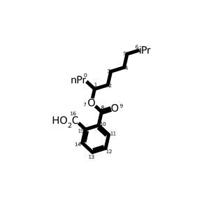 CCCC(CCCCC(C)C)OC(=O)c1ccccc1C(=O)O